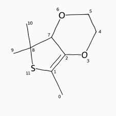 CC1=C2OCCOC2C(C)(C)S1